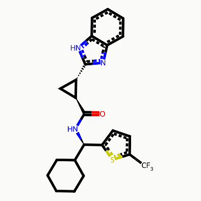 O=C(N[C@@H](c1ccc(C(F)(F)F)s1)C1CCCCC1)[C@H]1C[C@@H]1c1nc2ccccc2[nH]1